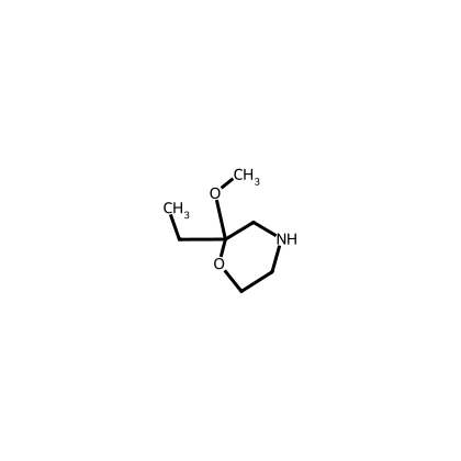 CCC1(OC)CNCCO1